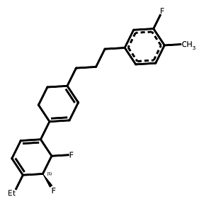 CCC1=CC=C(C2=CC=C(CCCc3ccc(C)c(F)c3)CC2)C(F)[C@H]1F